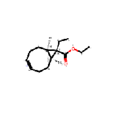 CCOC(=O)[C@@]1(CC)[C@@H]2CC/C=C\CC[C@@H]21